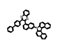 c1ccc(-c2ccc(-c3nc4ccccc4nc3-c3cccc4cc(-n5c6ccc7ccccc7c6c6c7ccccc7ccc65)ccc34)cc2)cc1